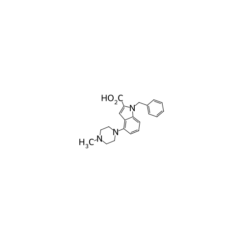 CN1CCN(c2cccc3c2cc(C(=O)O)n3Cc2ccccc2)CC1